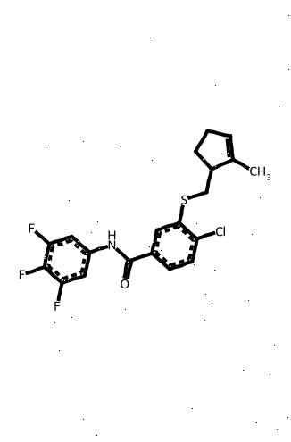 CC1=CCCC1CSc1cc(C(=O)Nc2cc(F)c(F)c(F)c2)ccc1Cl